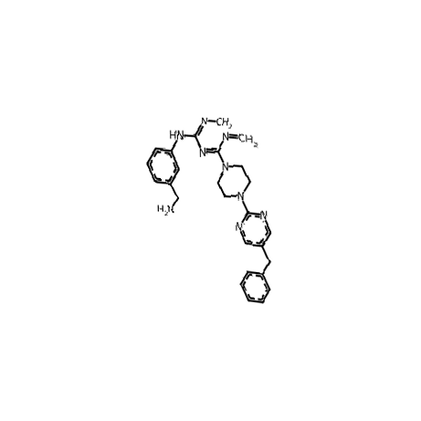 C=N/C(=N\C(=N/C)Nc1cccc(CN)c1)N1CCN(c2ncc(Cc3ccccc3)cn2)CC1